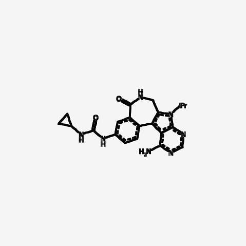 CC(C)n1c2c(c3c(N)ncnc31)-c1ccc(NC(=O)NC3CC3)cc1C(=O)NC2